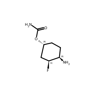 NC(=O)O[C@@H]1CC[C@@H](N)[C@@H](F)C1